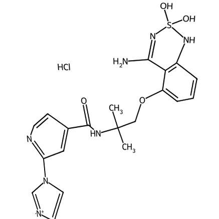 CC(C)(COc1cccc2c1C(N)=NS(O)(O)N2)NC(=O)c1ccnc(N2C=C[N+]=C2)c1.Cl